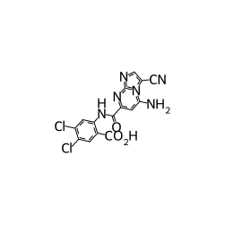 N#Cc1cnc2nc(C(=O)Nc3cc(Cl)c(Cl)cc3C(=O)O)cc(N)n12